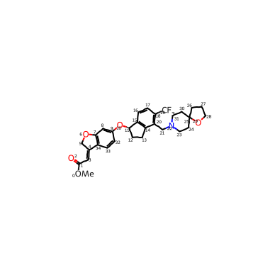 COC(=O)/C=C1\COc2cc(O[C@@H]3CCc4c3ccc(C(F)(F)F)c4CN3CCC4(CCCO4)CC3)ccc21